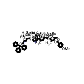 COc1ccc(C2OC[C@H](C)[C@@H]([C@@H](C)[C@H](CC[C@H](C)C[C@@H](C)[C@@H](O[Si](C)(C)C(C)(C)C)[C@@H](C)/C=C\[C@H](C[C@H](O[Si](C)(C)C(C)(C)C)[C@@H](C)/C=C/COC(c3ccccc3)(c3ccccc3)c3ccccc3)O[Si](C)(C)C(C)(C)C)O[Si](C)(C)C(C)(C)C)O2)cc1